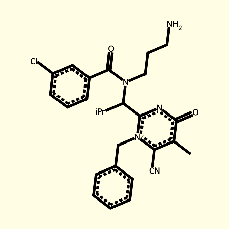 Cc1c(C#N)n(Cc2ccccc2)c(C(C(C)C)N(CCCN)C(=O)c2cccc(Cl)c2)nc1=O